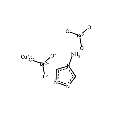 Nn1cnnc1.[Cu+2].[O-][Br+2]([O-])[O-].[O-][Br+2]([O-])[O-]